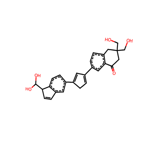 O=C1CC(CO)(CO)Cc2ccc(C3=CCC(c4ccc5c(c4)C=CC5C(O)O)=C3)cc21